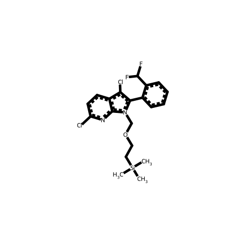 C[Si](C)(C)CCOCn1c(-c2ccccc2C(F)F)c(Cl)c2ccc(Cl)nc21